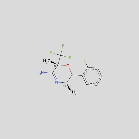 C[C@H]1N=C(N)[C@](C)(C(F)(F)F)OC1c1ccccc1F